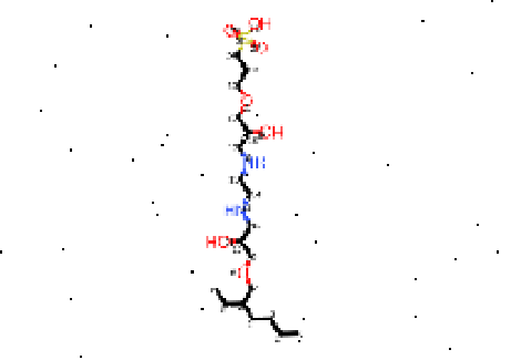 CCCCC(CC)COCC(O)CNCCNCC(O)COCCCS(=O)(=O)O